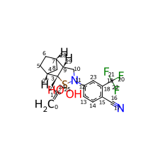 C=CC[C@@]12[C@@H]3CC[C@@H](C3)[C@@H]1CN(c1ccc(C#N)c(C(F)(F)F)c1)S2(O)O